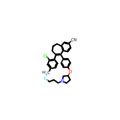 Cc1ccc(C2=C(c3ccc(O[C@H]4CCN(CCCF)C4)cc3)c3ccc(C#N)cc3CCC2)c(Cl)c1